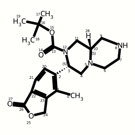 Cc1c([C@H]2CN3CCNC[C@H]3CN2C(=O)OC(C)(C)C)ccc2c1COC2=O